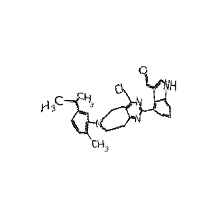 Cc1ccc(C(C)C)cc1N1CCc2nc(-c3cccc4[nH]cc(C=O)c34)nc(Cl)c2C1